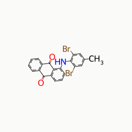 Cc1cc(Br)c(Nc2cccc3c2C(=O)c2ccccc2C3=O)c(Br)c1